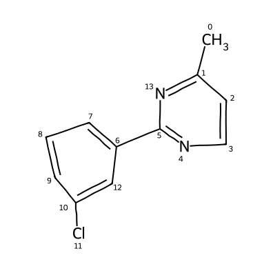 Cc1ccnc(-c2cccc(Cl)c2)n1